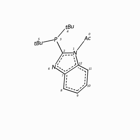 CC(=O)n1c(P(C(C)(C)C)C(C)(C)C)nc2ccccc21